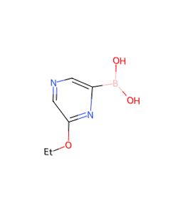 CCOc1cncc(B(O)O)n1